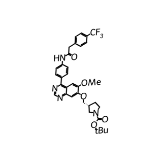 COc1cc2c(-c3ccc(NC(=O)Cc4ccc(C(F)(F)F)cc4)cc3)ncnc2cc1OC[C@@H]1CCN(C(=O)OC(C)(C)C)C1